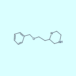 c1ccc(COCCC2CNCC[N]2)cc1